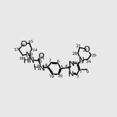 Cc1cnc(-c2ccc(NC(=O)NN3CCOCC3)cc2)nc1N1CCOCC1